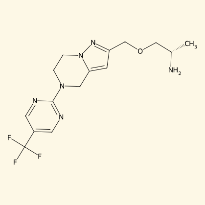 C[C@H](N)COCc1cc2n(n1)CCN(c1ncc(C(F)(F)F)cn1)C2